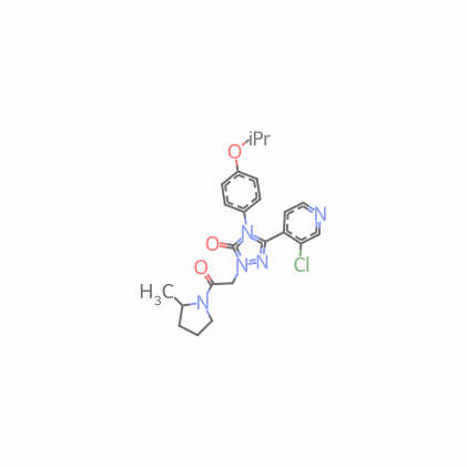 CC(C)Oc1ccc(-n2c(-c3ccncc3Cl)nn(CC(=O)N3CCCC3C)c2=O)cc1